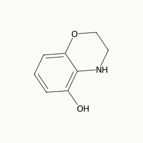 Oc1cccc2c1NCCO2